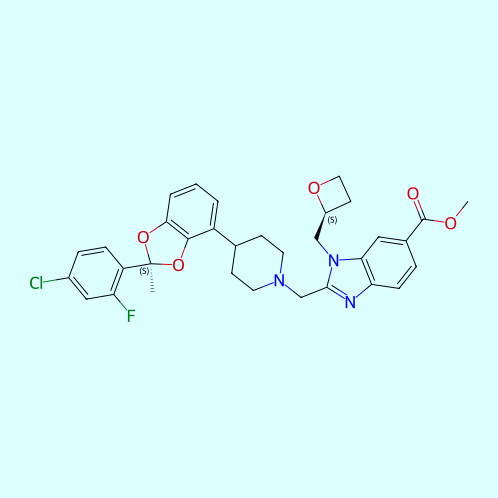 COC(=O)c1ccc2nc(CN3CCC(c4cccc5c4O[C@@](C)(c4ccc(Cl)cc4F)O5)CC3)n(C[C@@H]3CCO3)c2c1